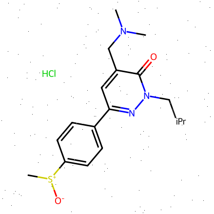 CC(C)Cn1nc(-c2ccc([S+](C)[O-])cc2)cc(CN(C)C)c1=O.Cl